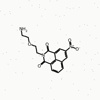 NCCOCCN1C(=O)c2cccc3cc([N+](=O)[O-])cc(c23)C1=O